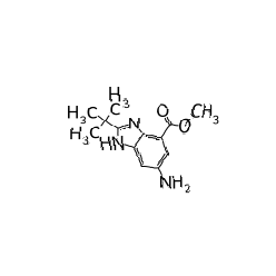 COC(=O)c1cc(N)cc2[nH]c(C(C)(C)C)nc12